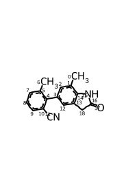 Cc1cc(-c2c(C)cccc2C#N)cc2c1NC(=O)C2